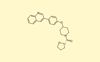 O=C([C@@H]1CCCO1)N1CCC(Oc2ccc(-c3cnc4ccccc4c3)cc2)CC1